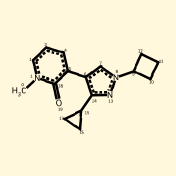 Cn1cccc(-c2cn(C3CCC3)nc2C2CC2)c1=O